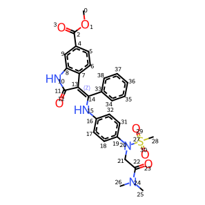 COC(=O)c1ccc2c(c1)NC(=O)/C2=C(\Nc1ccc(N(CC(=O)N(C)C)S(C)(=O)=O)cc1)c1ccccc1